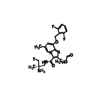 Cc1cc(OCc2c(F)cccc2F)c2nc(C)c(C(=O)NC[C@@](C)(N)CF)n2c1.O=CO